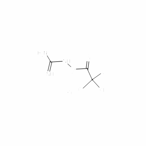 N=C(N)NOC(=O)C(Cl)(Cl)Cl.[Cr]